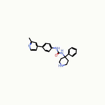 Cc1cc(-c2ccc(NC(=O)NC3(c4ccccc4)CCNCC3)cc2)ccn1